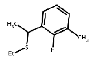 CCSC(C)c1cccc(C)c1F